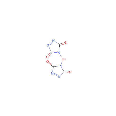 O=C1N=NC(=O)N1BN1C(=O)N=NC1=O